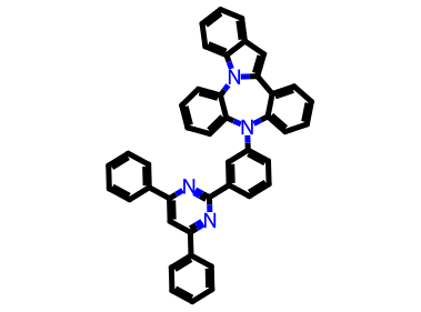 c1ccc(-c2cc(-c3ccccc3)nc(-c3cccc(N4c5ccccc5-c5cc6ccccc6n5-c5ccccc54)c3)n2)cc1